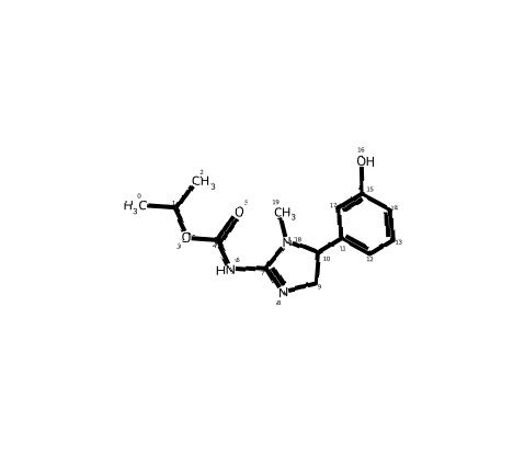 CC(C)OC(=O)NC1=NCC(c2cccc(O)c2)N1C